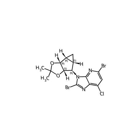 CC1(C)O[C@@H]2[C@@H]3C[C@@H]3[C@@H](n3c(Br)nc4c(Cl)cc(Br)nc43)[C@@H]2O1